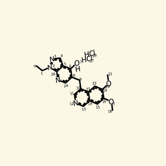 CCn1ncc2c(O)c(Cc3cncc4cc(OC)c(OC)cc34)cnc21.Cl.Cl